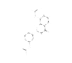 CC(=O)Nc1cccc(-c2cc(=O)c3cccc(CC(=O)O)c3o2)c1